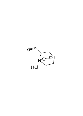 Cl.O=CC1CC2CCN1CC2